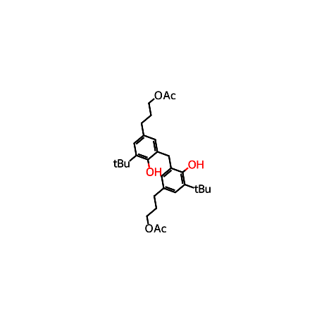 CC(=O)OCCCc1cc(Cc2cc(CCCOC(C)=O)cc(C(C)(C)C)c2O)c(O)c(C(C)(C)C)c1